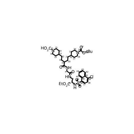 CCOC(=O)[C@H](CNC(=O)CNC(=O)C(CCC1CCN(C(=O)O)CC1)CCC1CCN(C(=O)OC(C)(C)C)CC1)NS(=O)(=O)c1ccc(Cl)c2ccccc12